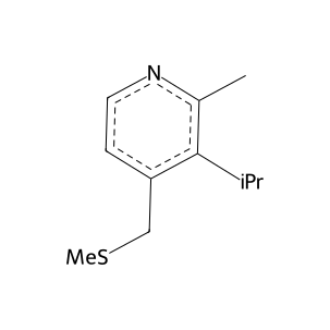 CSCc1ccnc(C)c1C(C)C